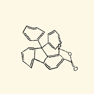 O=C1OC(=O)c2c1ccc1c2C(c2ccccc2)(c2ccccc2)c2ccccc2-1